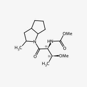 COC(=O)N[C@H](C(=O)N1C(C)CC2CCCC21)[C@H](C)OC